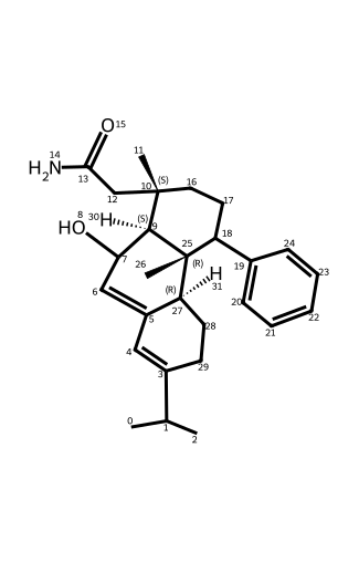 CC(C)C1=CC2=CC(O)[C@H]3[C@](C)(CC(N)=O)CCC(c4ccccc4)[C@]3(C)[C@H]2CC1